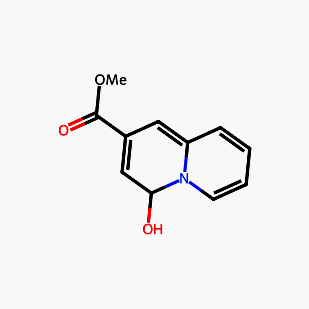 COC(=O)C1=CC(O)N2C=CC=CC2=C1